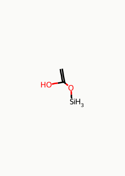 C=C(O)O[SiH3]